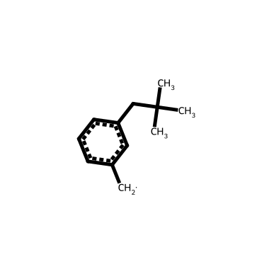 [CH2]c1cccc(CC(C)(C)C)c1